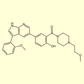 COCCN1CCN(C(=O)c2cc(-c3cnc4[nH]cc(-c5ccccc5OC)c4c3)ccc2O)CC1